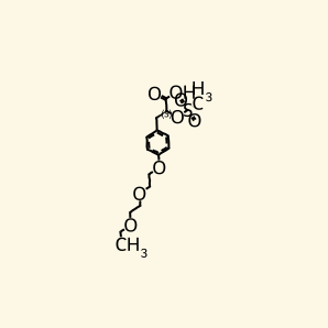 CCOCCOCCOc1ccc(C[C@H](OS(C)(=O)=O)C(=O)O)cc1